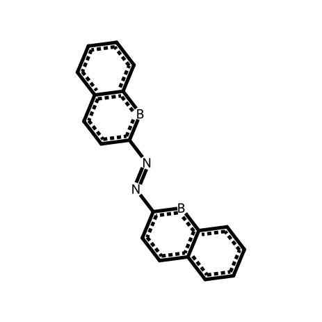 b1c(N=Nc2bc3ccccc3cc2)ccc2ccccc12